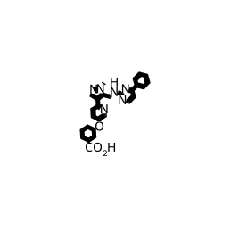 Cn1ncc(-c2ccc(O[C@H]3CCC[C@H](C(=O)O)C3)cn2)c1CNc1nccc(-c2ccccc2)n1